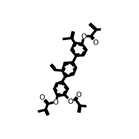 C=Cc1cc(-c2ccc(OC(=O)C(=C)C)c(C(=C)C)c2)ccc1-c1ccc(OC(=O)C(=C)C)c(OC(=O)C(=C)C)c1